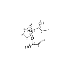 C=CC(=O)O.CCC(O)[SiH]1CCCCO1